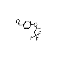 CC(CC(F)(F)F)Oc1ccc(C=O)cc1